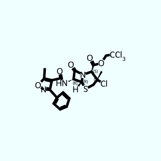 Cc1onc(-c2ccccc2)c1C(=O)N[C@@H]1C(=O)N2[C@@H]1SC[C@@](C)(Cl)[C@@H]2C(=O)OCC(Cl)(Cl)Cl